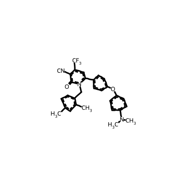 [C-]#[N+]c1c(C(F)(F)F)cc(-c2ccc(Oc3ccc(N(C)C)cc3)cc2)n(Cc2ccc(C)cc2C)c1=O